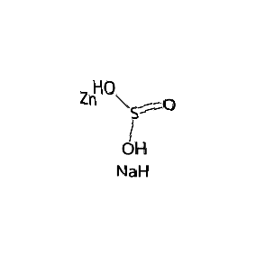 O=S(O)O.[NaH].[Zn]